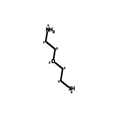 NCCOCCS